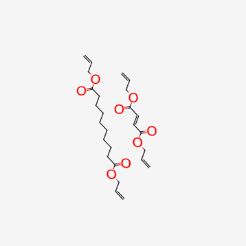 C=CCOC(=O)C=CC(=O)OCC=C.C=CCOC(=O)CCCCCCCCC(=O)OCC=C